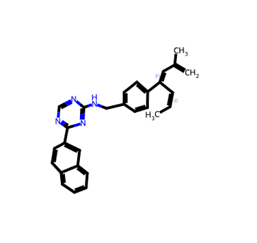 C=C(C)/C=C(\C=C/C)c1ccc(CNc2ncnc(-c3ccc4ccccc4c3)n2)cc1